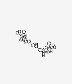 O=C([C@H](NC1OCO1)c1ccccc1)N1CCC[C@H]1c1nc2cc(-c3cnc4cc(-c5ccc6[nH]c([C@@H]7CCCN7C(=O)[C@H](NC7OCO7)c7ccccc7)nc6c5)ccc4c3)ccc2[nH]1